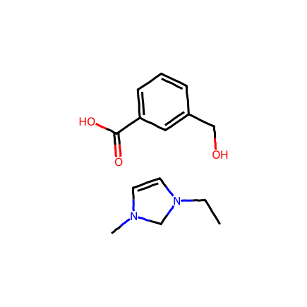 CCN1C=CN(C)C1.O=C(O)c1cccc(CO)c1